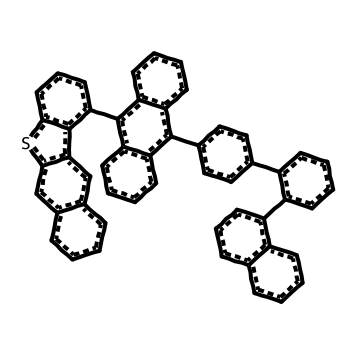 c1ccc(-c2cccc3ccccc23)c(-c2ccc(-c3c4ccccc4c(-c4cccc5sc6cc7ccccc7cc6c45)c4ccccc34)cc2)c1